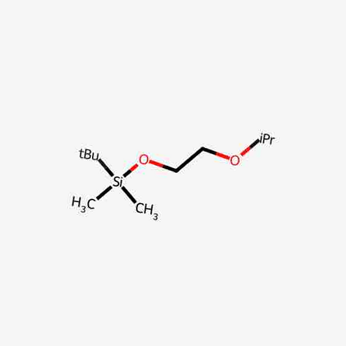 CC(C)OCCO[Si](C)(C)C(C)(C)C